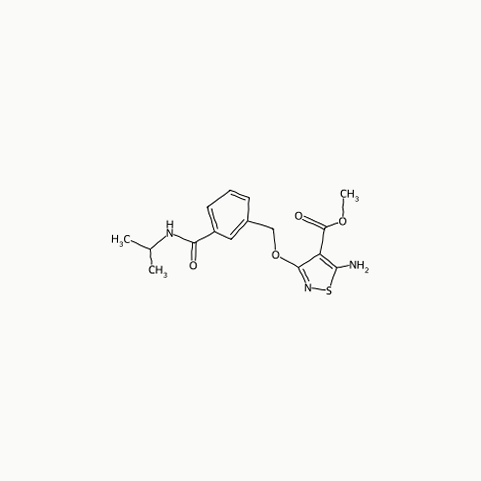 COC(=O)c1c(OCc2cccc(C(=O)NC(C)C)c2)nsc1N